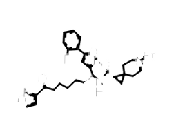 CCN1CCC2(CC1)C[C@@H]2C(=O)N[C@@H](CCCCCC(=O)c1ccon1)c1cc(-c2ccccc2F)on1